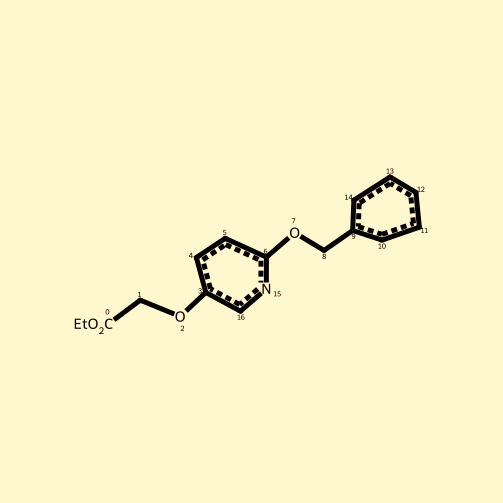 CCOC(=O)COc1ccc(OCc2ccccc2)nc1